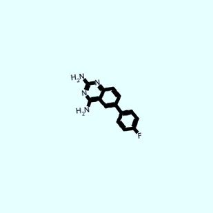 Nc1nc(N)c2cc(-c3ccc(F)cc3)ccc2n1